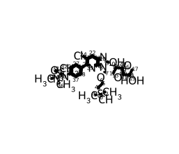 C#S(C)(C)CCOCn1c(O[C@@H]2CO[C@H]3[C@@H]2OC[C@H]3O)nc2cc(Cl)c(-c3ccc(N=S(C)(=O)N(C)C)cc3)nc21